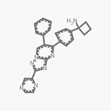 NC1(c2ccc(-c3nc4nc(-c5cnccn5)nn4cc3-c3ccccc3)cc2)CCC1